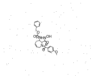 COc1ccc(S(=O)(=O)N2CC=CCC(NC(=O)OCc3ccccc3)C2C(=O)NO)cc1